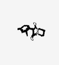 Cc1ccc(C2C(=O)N3CCCCN3C2=O)c(C)c1